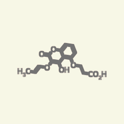 CC=COc1c(O)c2c(OCCC(=O)O)cccc2oc1=O